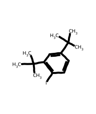 CC(C)(C)c1ccc(I)c(C(C)(C)C)c1